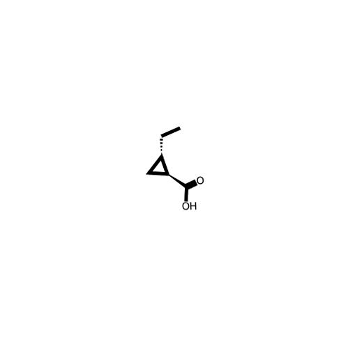 CC[C@H]1C[C@@H]1C(=O)O